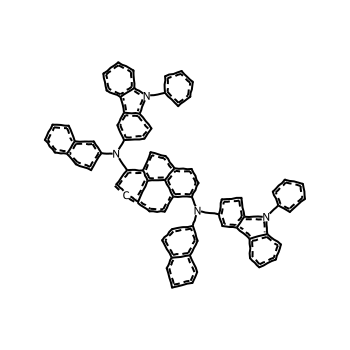 c1ccc(-n2c3ccccc3c3cc(N(c4ccc5ccccc5c4)c4ccc5ccc6c(N(c7ccc8ccccc8c7)c7ccc8c(c7)c7ccccc7n8-c7ccccc7)ccc7ccc4c5c76)ccc32)cc1